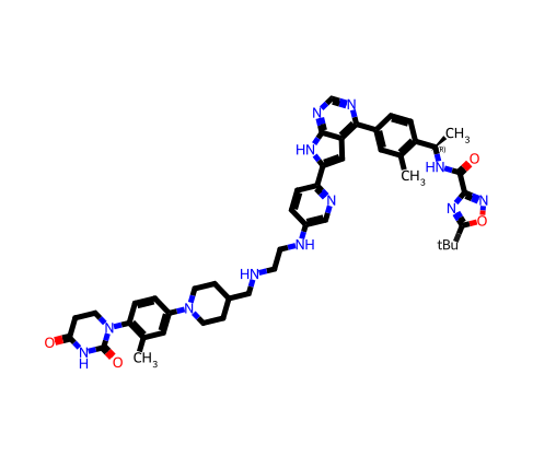 Cc1cc(-c2ncnc3[nH]c(-c4ccc(NCCNCC5CCN(c6ccc(N7CCC(=O)NC7=O)c(C)c6)CC5)cn4)cc23)ccc1[C@@H](C)NC(=O)c1noc(C(C)(C)C)n1